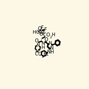 CCOC(=O)N1CCN(C(=O)[C@H](CCC(=O)O)NC(=O)c2cc(NC3CCCCC3)nc(-c3ccccc3)n2)CC1.O=S(=O)(O)C(F)(F)F